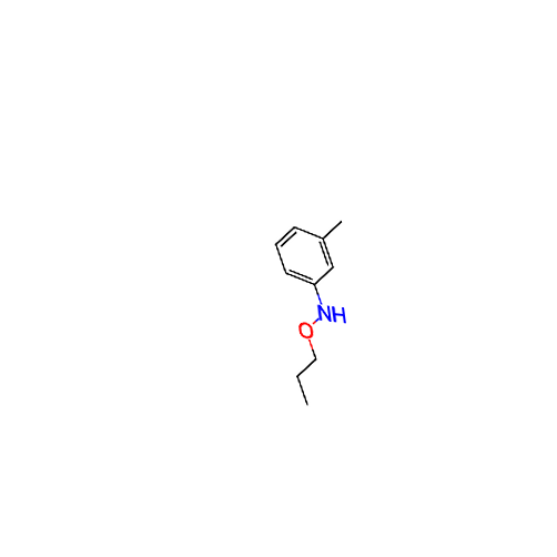 CCCONc1cccc(C)c1